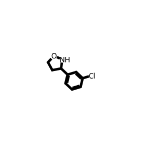 Clc1cccc(C2CCON2)c1